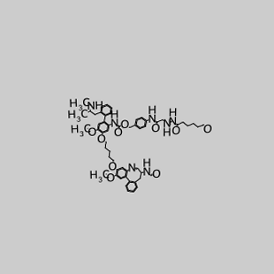 CN[C@H](C)Cc1ccccc1-c1cc(OC)c(OCCCCCOc2cc3c(cc2OC)-c2ccccc2CC(NC=O)/C=N\3)cc1NC(=O)OCc1ccc(NC(=O)CNNC(=O)CCCCC=O)cc1